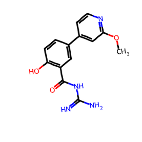 COc1cc(-c2ccc(O)c(C(=O)NC(=N)N)c2)ccn1